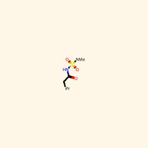 CNS(=O)(=O)NC(=O)CC(C)C